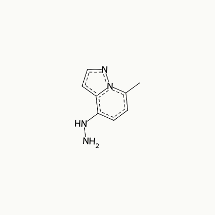 Cc1ccc(NN)c2ccnn12